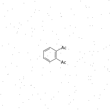 CC(=O)c1[c]cccc1C(C)=O